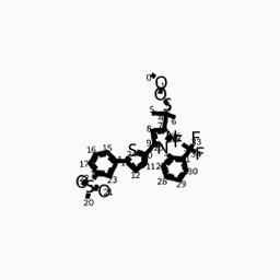 COOSC(C)(C)c1cc(-c2ccc(-c3cccc(S(C)(=O)=O)c3)s2)n(-c2ccccc2C(F)(F)F)n1